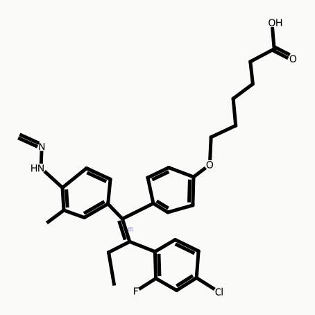 C=NNc1ccc(/C(=C(\CC)c2ccc(Cl)cc2F)c2ccc(OCCCCCC(=O)O)cc2)cc1C